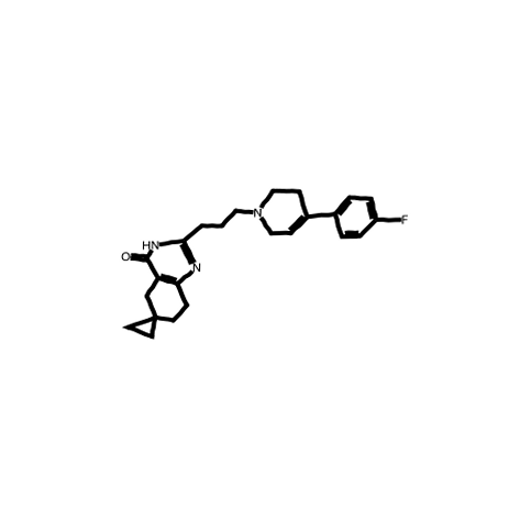 O=c1[nH]c(CCCN2CC=C(c3ccc(F)cc3)CC2)nc2c1CC1(CC2)CC1